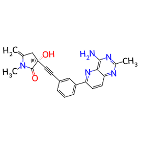 C=C1C[C@@](O)(C#Cc2cccc(-c3ccc4nc(C)nc(N)c4n3)c2)C(=O)N1C